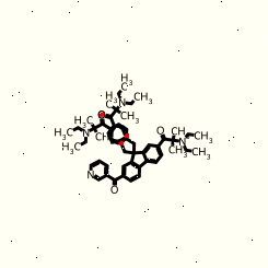 CCN(CC)C(C)(C)C(=O)c1ccc(CC2(Cc3ccc(C(=O)C(C)(C)N(CC)CC)cc3)c3cc(C(=O)c4cccnc4)ccc3-c3ccc(C(=O)C(C)(C)N(CC)CC)cc32)cc1